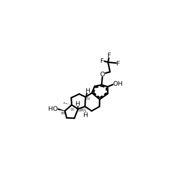 C[C@]12CC[C@@H]3c4cc(OCC(F)(F)F)c(O)cc4CC[C@H]3[C@@H]1CC[C@H]2O